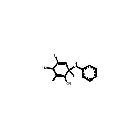 N#CC1=C(F)C(C#N)C(F)=CC1(F)Nc1ccccc1